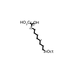 CCCCCCCCCCCCCCCCSC(O)C(=O)O